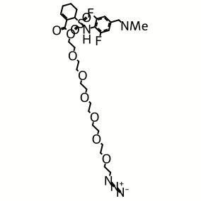 CNCc1cc(F)c(NS(=O)(=O)C2CCCC=C2C(=O)OCCOCCOCCOCCOCCOCCOCCN=[N+]=[N-])c(F)c1